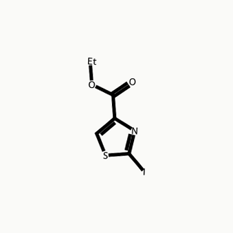 CCOC(=O)c1csc(I)n1